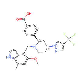 COc1cc(C)c2[nH]ccc2c1CN1CC[C@H](n2cc(C(F)(F)F)cn2)C[C@@H]1c1ccc(C(=O)O)cc1